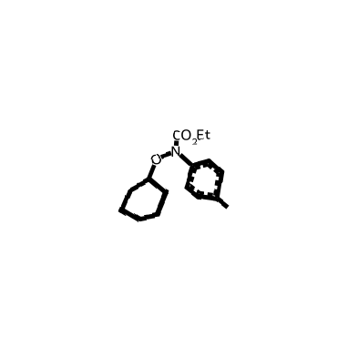 CCOC(=O)N(OC1CCCCC1)c1ccc(C)cc1